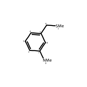 CNc1cccc(CSC)c1